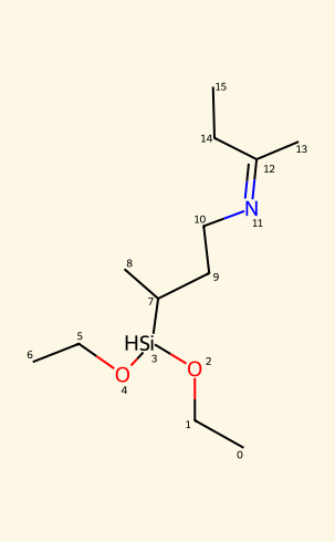 CCO[SiH](OCC)C(C)CCN=C(C)CC